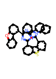 c1ccc(-c2nc(-c3cccc4oc5ccccc5c34)nc(-c3cccc4sc5cccc(-c6nc7ccccc7n6-c6ccccc6)c5c34)n2)cc1